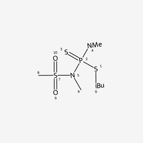 CCC(C)SP(=S)(NC)N(C)S(C)(=O)=O